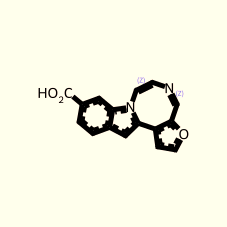 O=C(O)c1ccc2cc3n(c2c1)/C=C\N=C/c1occc1-3